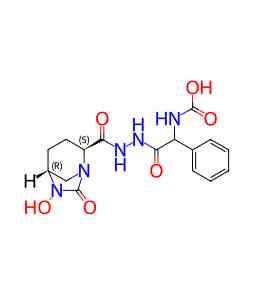 O=C(O)NC(C(=O)NNC(=O)[C@@H]1CC[C@@H]2CN1C(=O)N2O)c1ccccc1